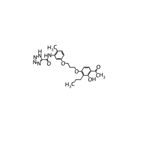 CCCc1c(OCCCOc2ccc(C)c(NC(=O)c3nnn[nH]3)c2)ccc(C(C)=O)c1O